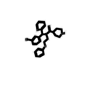 O=C(C1CCNCC1)N(CCOc1ccccc1)C(c1cccc(Cl)c1)c1ccccn1